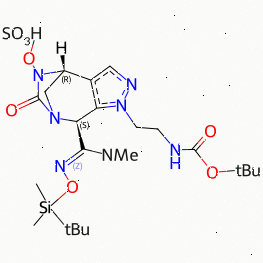 CN/C(=N\O[Si](C)(C)C(C)(C)C)[C@@H]1c2c(cnn2CCNC(=O)OC(C)(C)C)[C@@H]2CN1C(=O)N2OS(=O)(=O)O